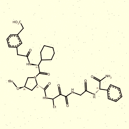 CCC(NC(=O)[C@@H]1C[C@@H](OC(C)(C)C)CN1C(=O)[C@@H](NC(=O)Cc1cccc(CC(=O)O)c1)C1CCCCC1)C(=O)C(=O)NCC(=O)N[C@H](C(N)=O)c1ccccc1